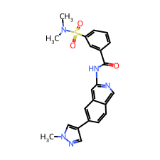 CN(C)S(=O)(=O)c1cccc(C(=O)Nc2cc3cc(-c4cnn(C)c4)ccc3cn2)c1